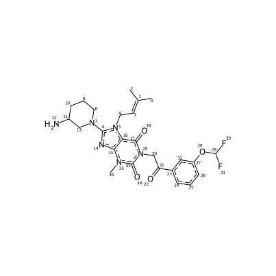 CC(C)=CCn1c(N2CCCC(N)C2)nc2c1c(=O)n(CC(=O)c1cccc(OC(F)F)c1)c(=O)n2C